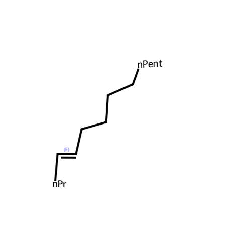 [CH2]CC/C=C/CCCCCCCC[CH2]